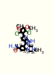 COc1cc(OC)c(Cl)c(-c2ccc3c(-c4cc(C(N)=O)ccc4N4CCN(C)CC4)n[nH]c3n2)c1Cl